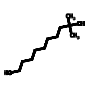 CC(C)(O)CCCCCCCCO